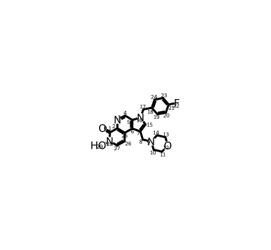 O=c1c2ncc3c(c(CN4CCOCC4)cn3Cc3ccc(F)cc3)c2ccn1O